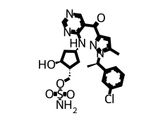 Cc1cc(C(=O)c2cncnc2N[C@@H]2C[C@H](COS(N)(=O)=O)[C@@H](O)C2)nn1[C@H](C)c1cccc(Cl)c1